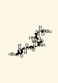 CCCCOc1c[nH]c(CNC(=O)NCC(=O)NC[C@H]2NC(=O)[C@H]2NC(=O)C(=N)c2csc(NC(=O)OC(C)(C)C)n2)cc1=O